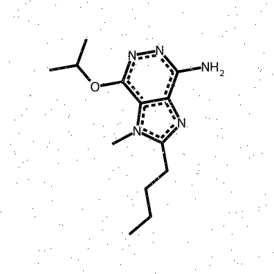 CCCCc1nc2c(N)nnc(OC(C)C)c2n1C